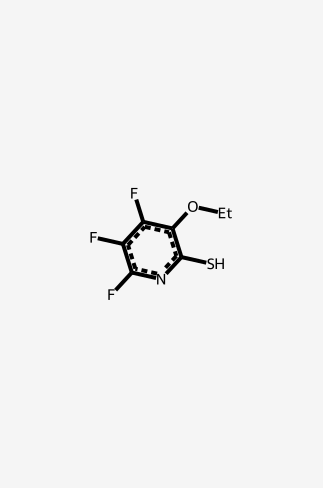 CCOc1c(S)nc(F)c(F)c1F